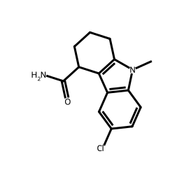 Cn1c2c(c3cc(Cl)ccc31)C(C(N)=O)CCC2